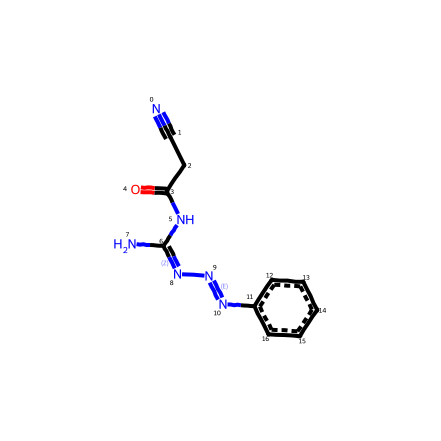 N#CCC(=O)N/C(N)=N\N=N\c1ccccc1